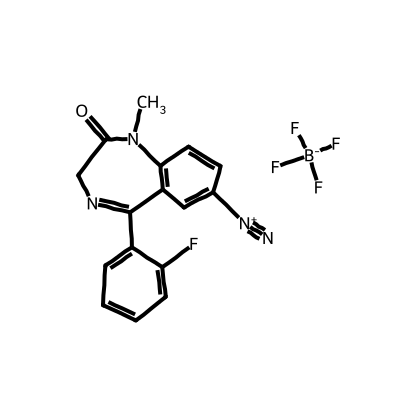 CN1C(=O)CN=C(c2ccccc2F)c2cc([N+]#N)ccc21.F[B-](F)(F)F